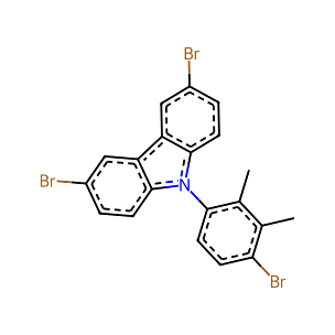 Cc1c(Br)ccc(-n2c3ccc(Br)cc3c3cc(Br)ccc32)c1C